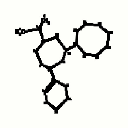 CN(C)C1CCC(C2=CCCCC2)CC(C2CCCCCCC2)C1